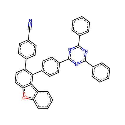 N#Cc1ccc(-c2ccc3oc4ccccc4c3c2-c2ccc(-c3nc(-c4ccccc4)nc(-c4ccccc4)n3)cc2)cc1